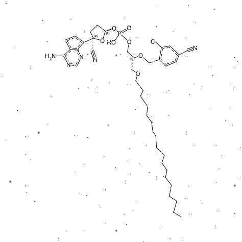 CCCCCCCCCCCCCCCCCCOC[C@H](COP(=O)(O)O[C@@H]1CC[C@](C#N)(c2ccc3c(N)ncnn23)O1)OCc1ccc(C#N)cc1Cl